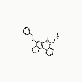 COCCOc1ccccc1-c1c(OC)nc(OCc2ccccc2)c2c1CCC2